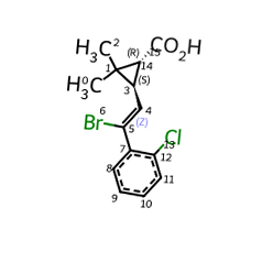 CC1(C)[C@H](/C=C(\Br)c2ccccc2Cl)[C@H]1C(=O)O